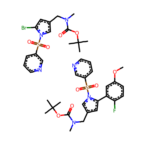 CN(Cc1cc(Br)n(S(=O)(=O)c2cccnc2)c1)C(=O)OC(C)(C)C.COc1ccc(F)c(-c2cc(CN(C)C(=O)OC(C)(C)C)cn2S(=O)(=O)c2cccnc2)c1